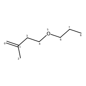 C=C(C)CCOCCC